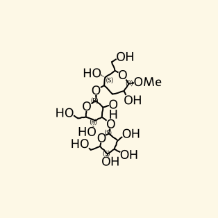 CO[C@@H]1OC(CO)[C@@H](O)C(O[C@@H]2OC(CO)[C@@H](O)C(O[C@@H]3OC(CO)[C@@H](O)C(O)C3O)C2O)CC1O